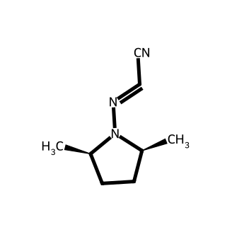 C[C@@H]1CC[C@H](C)N1N=CC#N